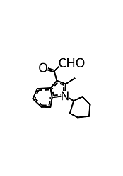 Cc1c(C(=O)C=O)c2ccccc2n1C1CCCCC1